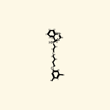 Cc1cc(C)cc(OCCCCCCCNc2ncnc3ccccc23)c1